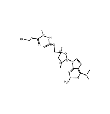 C[C@H](N[PH](=S)OC[C@]1(F)C[C@H](C)[C@H](n2cnc3c(N(C)C)nc(N)nc32)O1)C(=O)OCC(C)(C)C